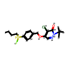 CCCC[SH](F)c1ccc(COc2cnn(C(C)(C)C)c(=O)c2Cl)cc1